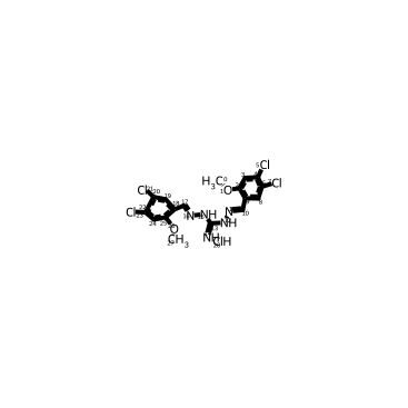 COc1cc(Cl)c(Cl)cc1C=NNC(=N)NN=Cc1cc(Cl)c(Cl)cc1OC.Cl